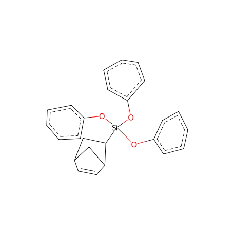 C1=CC2CC1CC2[Si](Oc1ccccc1)(Oc1ccccc1)Oc1ccccc1